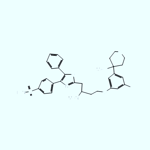 CNC(CCOc1cc(F)cc(C2(OC)CCOCC2)c1)Cc1nc(-c2ccc(S(N)(=O)=O)cc2)c(-c2ccccc2)o1